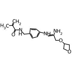 C=C(C)C(=O)NCc1ccc(N/C=C(\N)COC2COC2)cc1